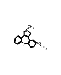 COc1ccc2c(c1)C1=C(CN(C)C1)c1ccccc1S2